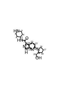 O=C(NC1CCNCC1)c1n[nH]c2nc(N3CCC[C@H]3CO)ccc12